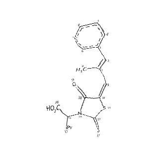 CC(=C\c1ccccc1)/C=C1/SC(=S)N(C(C(=O)O)C(C)C)C1=O